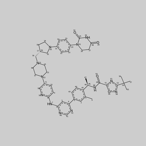 Cc1cc(-c2cc(Nc3ccc(N4CCN(C[C@@H]5CCN(c6ccc(N7CCC(=O)NC7=O)cc6)C5)CC4)cn3)ncn2)ccc1[C@@H](C)NC(=O)c1nc(C(C)(C)C)no1